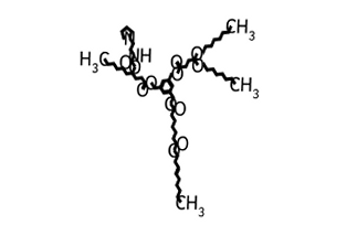 CCCCCC=CCCOC(=O)CCCCCC(=O)OCc1cc(COC(=O)CCC(CCCCCC)OC(=O)NCCN2CCCC2)cc(COC(=O)CCC(OCCCCCCCC)OCCCCCCCC)c1